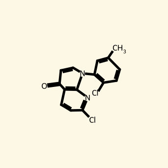 Cc1ccc(Cl)c(-n2ccc(=O)c3ccc(Cl)nc32)c1